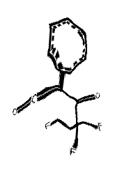 O=C=C(C(=O)C(F)(F)F)c1ccccc1